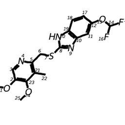 COc1cnc(CSc2nc3cc(OC(F)F)ccc3[nH]2)c(C)c1OC